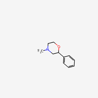 FC(F)(F)N1CCOC(c2ccccc2)C1